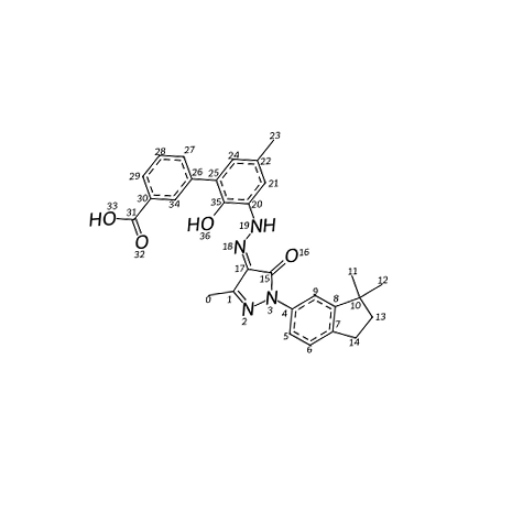 CC1=NN(c2ccc3c(c2)C(C)(C)CC3)C(=O)C1=NNc1cc(C)cc(-c2cccc(C(=O)O)c2)c1O